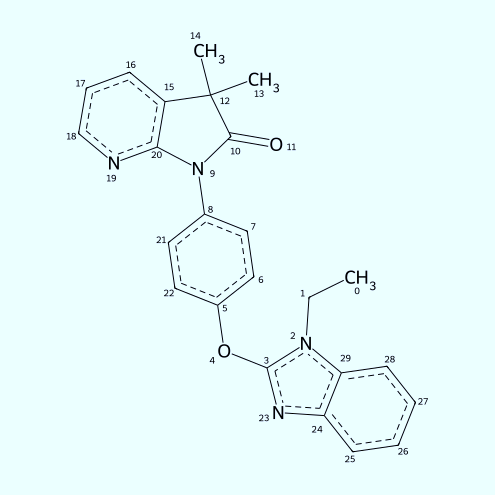 CCn1c(Oc2ccc(N3C(=O)C(C)(C)c4cccnc43)cc2)nc2ccccc21